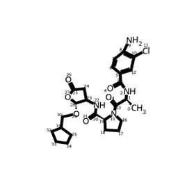 C[C@H](NC(=O)c1ccc(N)c(Cl)c1)C(=O)N1CCC[C@H]1C(=O)NC1CC(=O)O[C@H]1OCC1CCCC1